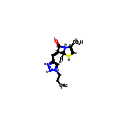 CC(=O)OCCn1cc(/C=C2/C(=O)N3C(C(=O)O)=CS[C@H]23)nn1